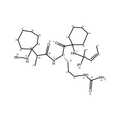 C/C=C\C(C)(NC1(C(=O)[C@H](CCCNC(N)=O)NC(=O)C(C)C2(NC(C)(C)C)CCCCCC2)CCCCC1)C(C)C